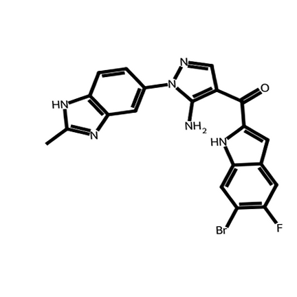 Cc1nc2cc(-n3ncc(C(=O)c4cc5cc(F)c(Br)cc5[nH]4)c3N)ccc2[nH]1